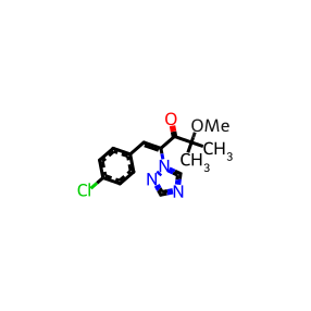 COC(C)(C)C(=O)C(=Cc1ccc(Cl)cc1)n1cncn1